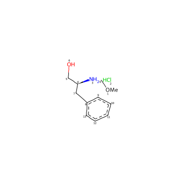 COC.Cl.N[C@H](CO)Cc1ccccc1